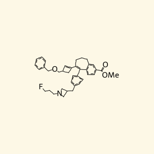 COC(=O)c1ccc2c(c1)CCCC(C1=CC(COCc3ccccc3)C1)=C2c1ccc(CC2CN(CCCF)C2)cc1